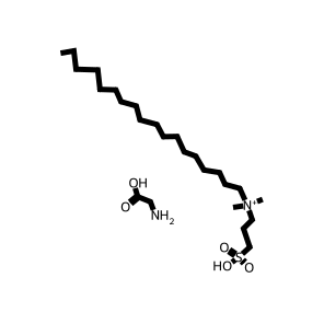 CCCCCCCCCCCCCCCCCC[N+](C)(C)CCCS(=O)(=O)O.NCC(=O)O